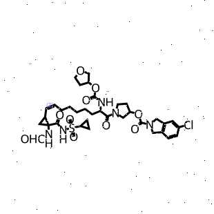 O=CNC1(C(=O)NS(=O)(=O)C2CC2)CC1/C=C\CCCCCC(NC(=O)OC1CCOC1)C(=O)N1CCC(OC(=O)N2Cc3ccc(Cl)cc3C2)C1